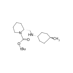 CC(C)(C)OC(=O)N1CCCC[C@@H]1CN[C@H]1CC[C@H](C)CC1